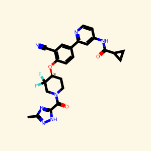 Cc1n[nH]c(C(=O)N2CC[C@H](Oc3ccc(-c4cc(NC(=O)C5CC5)ccn4)cc3C#N)C(F)(F)C2)n1